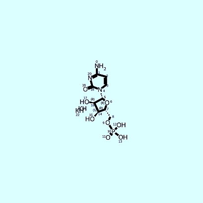 Nc1ccn([C@@H]2O[C@H](COP(=O)(O)O)[C@@H](O)[C@H]2O)c(=O)n1.[KH].[KH]